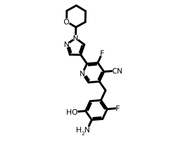 N#Cc1c(Cc2cc(O)c(N)cc2F)cnc(-c2cnn(C3CCCCO3)c2)c1F